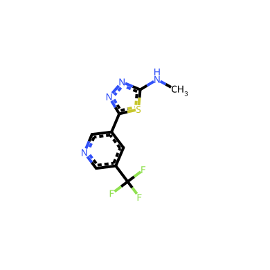 CNc1nnc(-c2cncc(C(F)(F)F)c2)s1